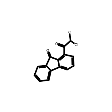 O=C1c2ccccc2-c2cccc(C(=O)C(Cl)Cl)c21